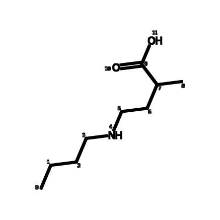 CCCCNCCC(C)C(=O)O